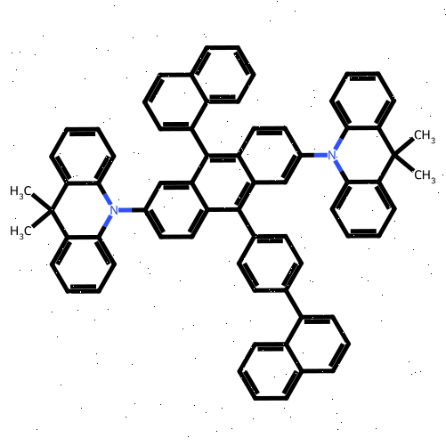 CC1(C)c2ccccc2N(c2ccc3c(-c4cccc5ccccc45)c4cc(N5c6ccccc6C(C)(C)c6ccccc65)ccc4c(-c4ccc(-c5cccc6ccccc56)cc4)c3c2)c2ccccc21